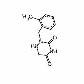 Cc1ccccc1CN1NCC(=O)NC1=O